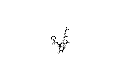 CC(C)=CCC/C(C)=C/[C@@H]1CC(C)=C[C@]2(C=C(/C=C/C(=O)N3CCCCC3)[C@H]3CC(=O)C(C)=C[C@H]3O2)O1